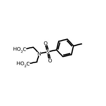 Cc1ccc(S(=O)(=O)N(CC(=O)O)CC(=O)O)cc1